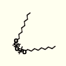 CCCCCCCCC[O][Sn]([CH3])([CH3])[O][Sn]([CH3])([CH3])[O]CCCCCCCCC